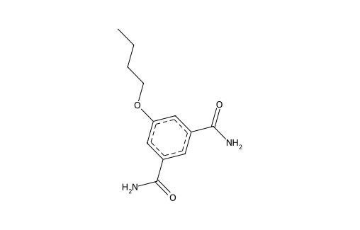 CCCCOc1cc(C(N)=O)cc(C(N)=O)c1